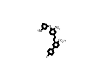 CC(C)(C)c1cccc(Oc2ccc(C=Cc3cc(-c4ccc(F)cc4)ccc3C(=O)O)cc2[N+](=O)[O-])c1